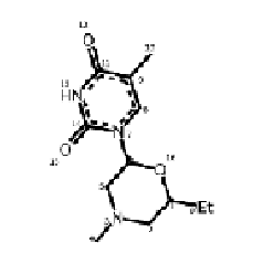 CCC1CN(C)CC(n2cc(C)c(=O)[nH]c2=O)O1